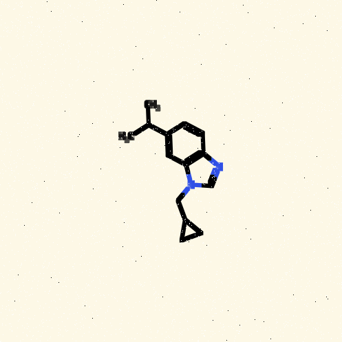 CC(C)c1ccc2ncn(CC3CC3)c2c1